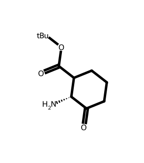 CC(C)(C)OC(=O)C1CCCC(=O)[C@@H]1N